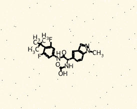 Cn1ncc2cc([C@@H](NC(=O)O)C(=O)Nc3cc(F)c(C(C)(C)C)c(F)c3)ccc21